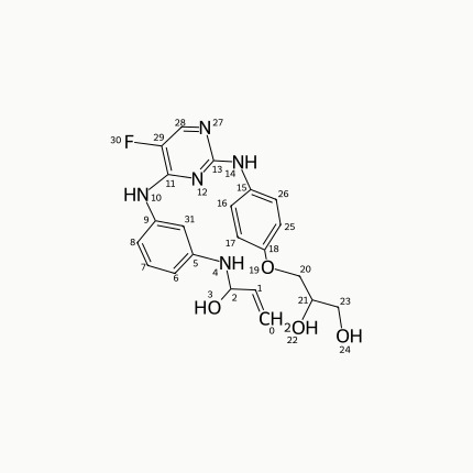 C=CC(O)Nc1cccc(Nc2nc(Nc3ccc(OCC(O)CO)cc3)ncc2F)c1